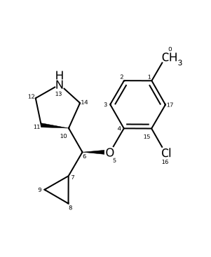 Cc1ccc(O[C@@H](C2CC2)[C@H]2CCNC2)c(Cl)c1